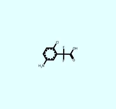 Nc1ccc(Cl)c(C(F)(F)C(=O)O)c1